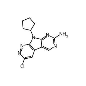 Nc1ncc2c3cc(Cl)nnc3n(C3CCCC3)c2n1